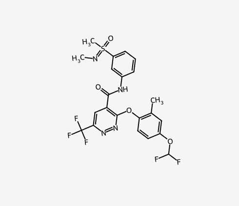 CN=S(C)(=O)c1cccc(NC(=O)c2cc(C(F)(F)F)nnc2Oc2ccc(OC(F)F)cc2C)c1